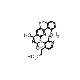 CC(C)c1nccc(CCC(=O)O)c1N1c2nc(-c3c(N)cccc3F)c(F)cc2C(O)=NC1O